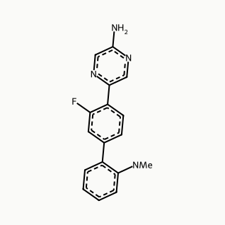 CNc1ccccc1-c1ccc(-c2cnc(N)cn2)c(F)c1